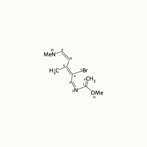 C=C(\N=C/C(Br)=C(C)/C=C\NC)OC